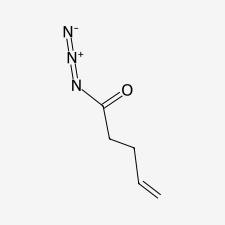 C=CCCC(=O)N=[N+]=[N-]